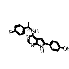 C[C@@H](Nc1ncnc2[nH]c(-c3ccc(O)cc3)cc12)c1ccc(F)cc1